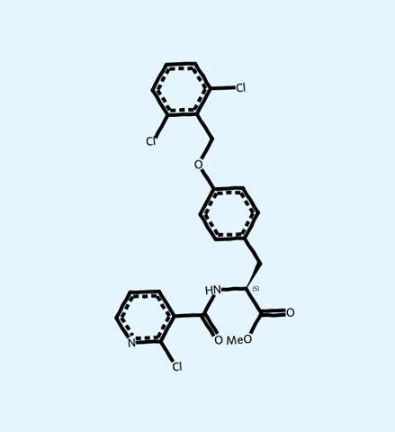 COC(=O)[C@H](Cc1ccc(OCc2c(Cl)cccc2Cl)cc1)NC(=O)c1cccnc1Cl